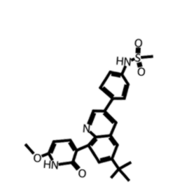 COc1ccc(-c2cc(C(C)(C)C)cc3cc(-c4ccc(NS(C)(=O)=O)cc4)cnc23)c(=O)[nH]1